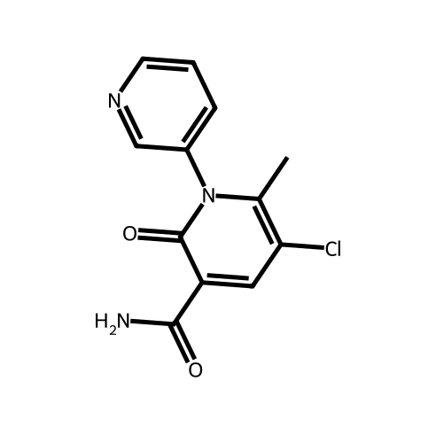 Cc1c(Cl)cc(C(N)=O)c(=O)n1-c1cccnc1